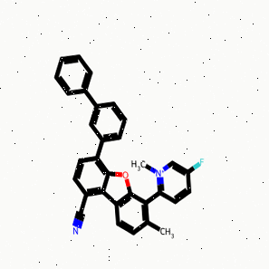 Cc1ccc2c(oc3c(-c4cccc(-c5ccccc5)c4)ccc(C#N)c32)c1-c1ccc(F)c[n+]1C